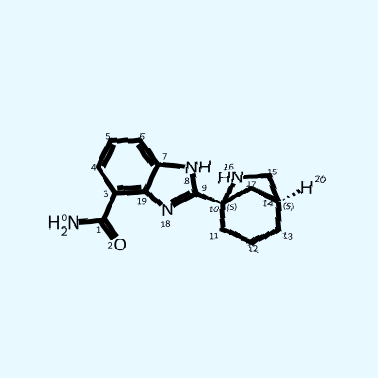 NC(=O)c1cccc2[nH]c([C@@]34CCC[C@H](CN3)C4)nc12